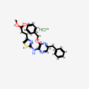 COC(=O)CCc1csc(Nc2ncc(Cc3ccccc3)nc2OCc2ccccc2)n1.Cl